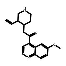 C=CC1CNCCC1CC(=O)c1ccnc2ccc(OC)cc12